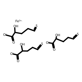 O=C([O-])C(O)CCC=S.O=C([O-])C(O)CCC=S.O=C([O-])C(O)CCC=S.[Fe+3]